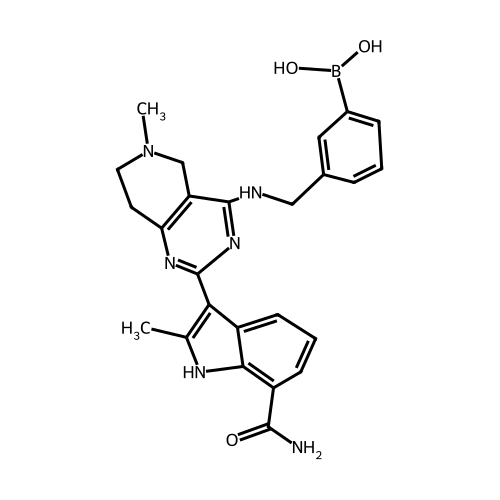 Cc1[nH]c2c(C(N)=O)cccc2c1-c1nc2c(c(NCc3cccc(B(O)O)c3)n1)CN(C)CC2